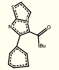 CC(C)(C)C(=O)c1c(-c2ccccc2)nc2sccn12